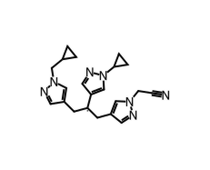 N#CCn1cc(C[C](Cc2cnn(CC3CC3)c2)c2cnn(C3CC3)c2)cn1